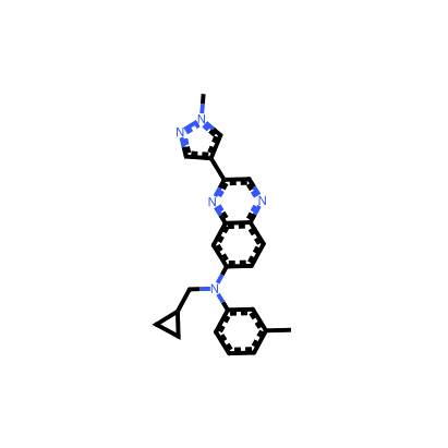 Cc1cccc(N(CC2CC2)c2ccc3ncc(-c4cnn(C)c4)nc3c2)c1